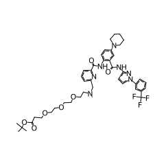 CN(CCOCCOCCOCCC(=O)OC(C)(C)C)Cc1cccc(C(=O)Nc2ccc(N3CCCCC3)cc2C(=O)Nc2ccn(-c3cccc(C(F)(F)F)c3)n2)n1